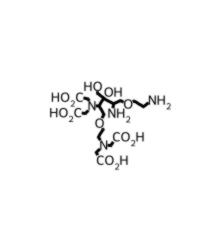 NCCOCC(N)C(O)(CO)C(COCCN(CC(=O)O)CC(=O)O)N(CC(=O)O)CC(=O)O